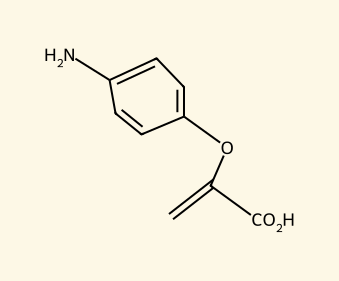 C=C(Oc1ccc(N)cc1)C(=O)O